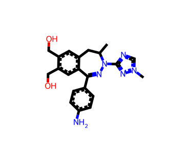 CC1Cc2cc(CO)c(CO)cc2C(c2ccc(N)cc2)=NN1c1ncn(C)n1